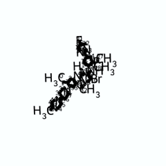 CCc1cc(Nc2ncc(Br)c(Nc3ccc(-c4ncc(F)cn4)cc3P(C)C)n2)c(OC)cc1N1CCC(N2CCN(C)CC2)CC1